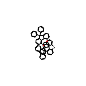 c1ccc(N(c2cccc3c2-c2ccccc2C3(c2ccccc2)c2ccccc2)c2cccc3sc4cccc(C5(c6ccccc6)c6ccccc6-c6ccccc65)c4c23)cc1